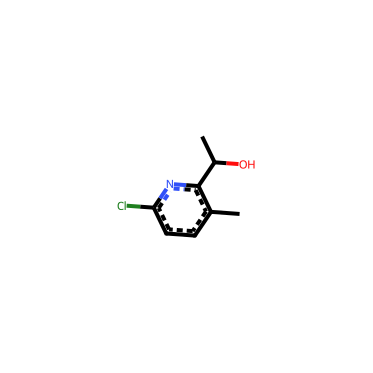 Cc1ccc(Cl)nc1C(C)O